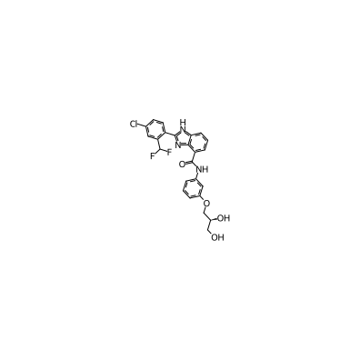 O=C(Nc1cccc(OC[C@@H](O)CO)c1)c1cccc2[nH]c(-c3ccc(Cl)cc3C(F)F)nc12